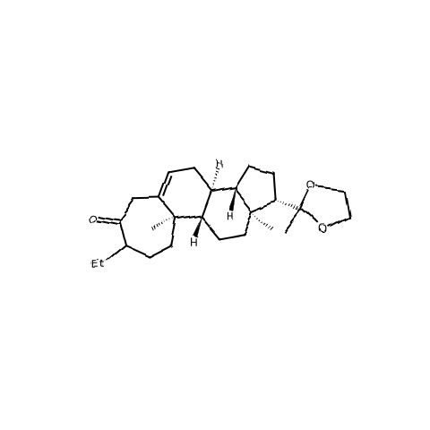 CCC1CC[C@@]2(C)C(=CC[C@H]3[C@@H]4CC[C@H](C5(C)OCCO5)[C@@]4(C)CC[C@@H]32)CC1=O